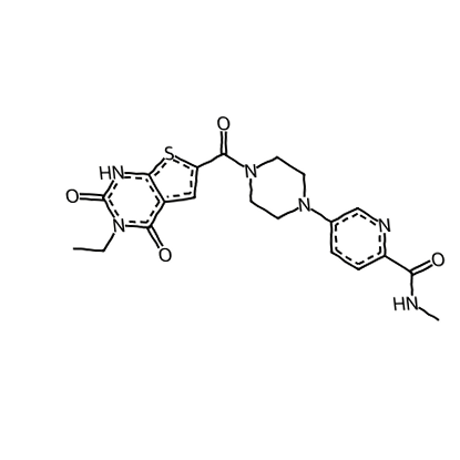 CCn1c(=O)[nH]c2sc(C(=O)N3CCN(c4ccc(C(=O)NC)nc4)CC3)cc2c1=O